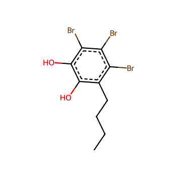 CCCCc1c(O)c(O)c(Br)c(Br)c1Br